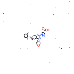 Cc1cccc(C)c1CNC1(C)C=c2c(N3CCOCC3)nc(-n3cc(C(=O)O)cn3)nc2=CC1